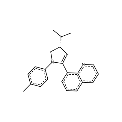 Cc1ccc(N2C[C@H](C(C)C)N=C2c2cccc3cccnc23)cc1